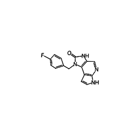 O=c1[nH]c2cnc3[nH]ccc3c2n1Cc1ccc(F)cc1